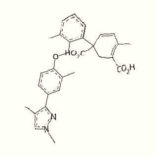 CC1=C(C(=O)O)CC(C(=O)O)(c2cccc(C)c2COc2ccc(-c3nn(C)cc3C)cc2C)C=C1